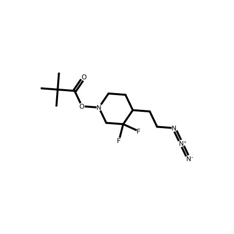 CC(C)(C)C(=O)ON1CCC(CCN=[N+]=[N-])C(F)(F)C1